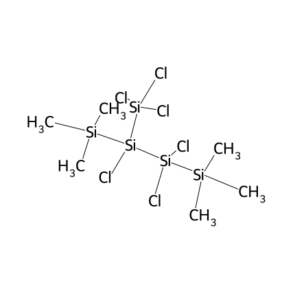 C[Si](C)(C)[Si](Cl)(Cl)[Si](Cl)([Si](C)(C)C)[Si](Cl)(Cl)Cl